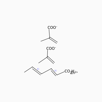 C/C=C/C=C/C(=O)O.C=C(C)C(=O)[O-].C=C(C)C(=O)[O-].[Zn+2]